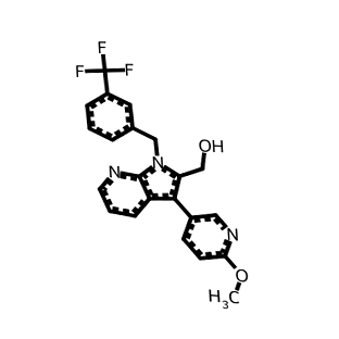 COc1ccc(-c2c(CO)n(Cc3cccc(C(F)(F)F)c3)c3ncccc23)cn1